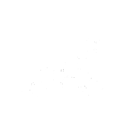 Cc1cc(CNC(=O)Cn2c(CCn3ccccc3=O)nc3c4c(ccc32)N[C@@H](C)CC4)on1